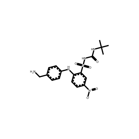 CC(C)(C)NC(=O)NS(=O)(=O)c1cc([N+](=O)[O-])ccc1Nc1ccc(CN)cc1